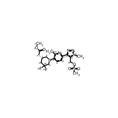 COC(=O)C[C@@H]1CN(c2ccc(-c3nnn(C)c3COS(C)(=O)=O)nc2C)CC(F)(F)C1